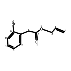 C=CCOC(=O)Cc1ccccc1Br